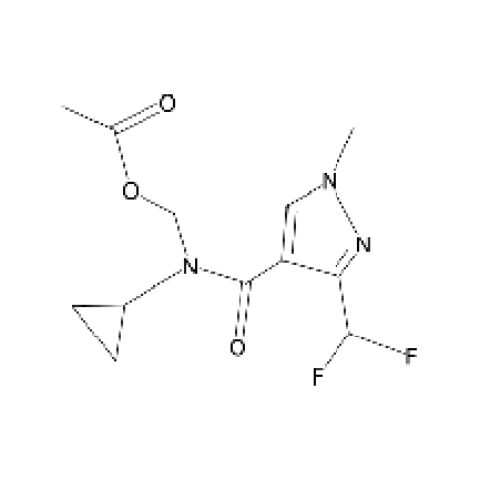 CC(=O)OCN(C(=O)c1cn(C)nc1C(F)F)C1CC1